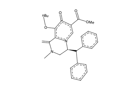 C=C1c2c(OCCCC)c(=O)c(C(=O)OC)cn2[C@@H](C(c2ccccc2)c2ccccc2)CN1C